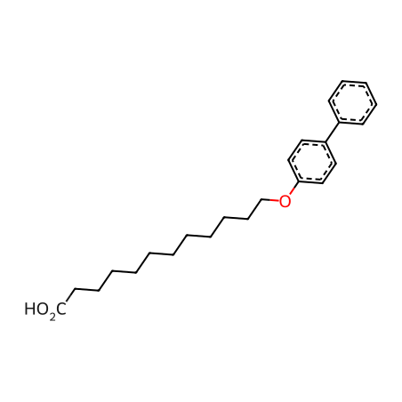 O=C(O)CCCCCCCCCCCOc1ccc(-c2ccccc2)cc1